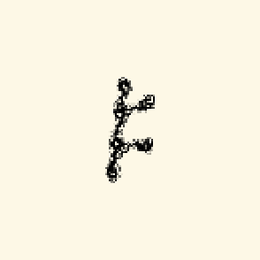 c1cc(OCCCN2CCOCC2)c(OCCCN2CCOCC2)cc1CCCCc1ccc(OCCCN2CCOCC2)c(OCCCN2CCCOC2)c1